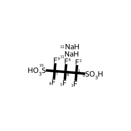 O=S(=O)(O)C(F)(F)C(F)(F)C(F)(F)S(=O)(=O)O.[NaH].[NaH]